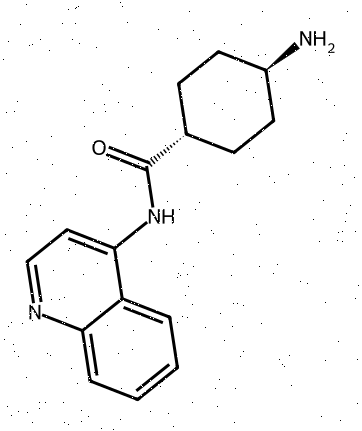 N[C@H]1CC[C@H](C(=O)Nc2ccnc3ccccc23)CC1